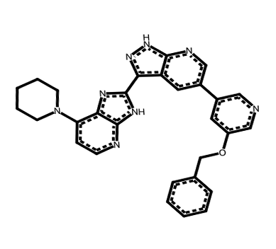 c1ccc(COc2cncc(-c3cnc4[nH]nc(-c5nc6c(N7CCCCC7)ccnc6[nH]5)c4c3)c2)cc1